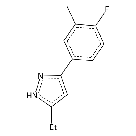 CCc1cc(-c2ccc(F)c(C)c2)n[nH]1